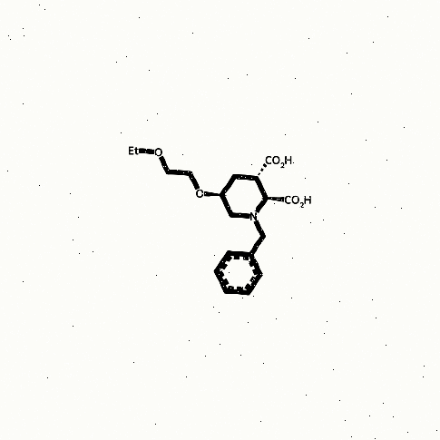 CCOCCO[C@H]1C[C@H](C(=O)O)[C@@H](C(=O)O)N(Cc2ccccc2)C1